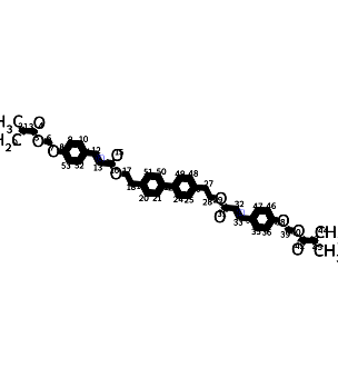 C=C(C)C(=O)OCOc1ccc(/C=C/C(=O)OCCc2ccc(-c3ccc(CCOC(=O)/C=C/c4ccc(OCOC(=O)C(=C)C)cc4)cc3)cc2)cc1